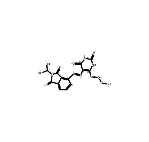 O=C1c2cccc(N=Nc3c(SOOO)[nH]c(=O)[nH]c3=O)c2C(=O)N1C(O)O